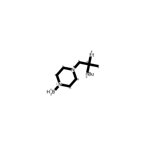 BN1CCN(CC(C)(CC)CCCC)CC1